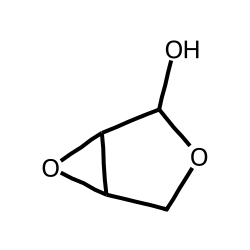 OC1OCC2OC12